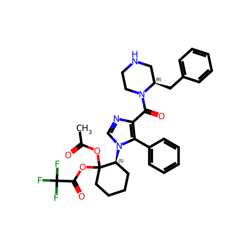 CC(=O)OC1(OC(=O)C(F)(F)F)CCCC[C@@H]1n1cnc(C(=O)N2CCNC[C@H]2Cc2ccccc2)c1-c1ccccc1